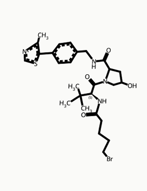 Cc1ncsc1-c1ccc(CNC(=O)C2CC(O)CN2C(=O)[C@@H](NC(=O)CCCCBr)C(C)(C)C)cc1